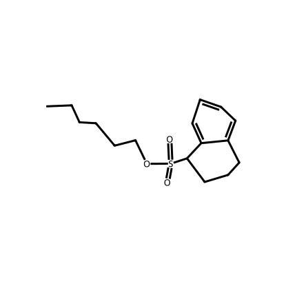 CCCCCCOS(=O)(=O)C1CCCc2ccccc21